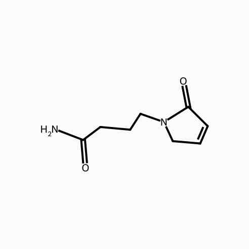 NC(=O)CCCN1CC=CC1=O